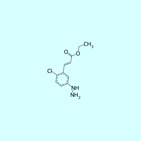 CCOC(=O)C=Cc1cc(NN)ccc1Cl